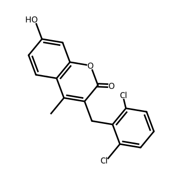 Cc1c(Cc2c(Cl)cccc2Cl)c(=O)oc2cc(O)ccc12